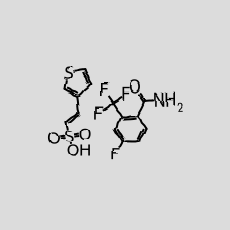 NC(=O)c1ccc(F)cc1C(F)(F)F.O=S(=O)(O)/C=C/c1ccsc1